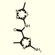 Cc1nnc(NC(=O)c2sc(N)nc2C)s1